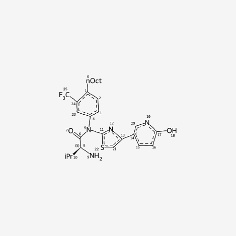 CCCCCCCCc1ccc(N(C(=O)[C@@H](N)C(C)C)c2nc(-c3ccc(O)nc3)cs2)cc1C(F)(F)F